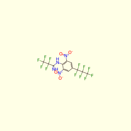 N=C(Nc1c([N+](=O)[O-])cc(C(F)(F)C(F)(F)C(F)(F)F)cc1[N+](=O)[O-])C(F)(F)C(F)(F)F